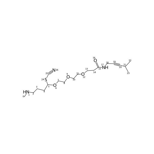 CNCCCC(OCCOCCOCCC(=O)NCC#CC(C)C)SC#N